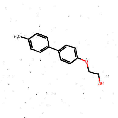 Cc1ccc(-c2ccc(OCCO)cc2)cc1